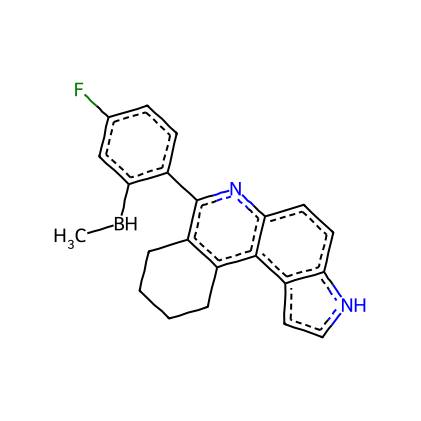 CBc1cc(F)ccc1-c1nc2ccc3[nH]ccc3c2c2c1CCCC2